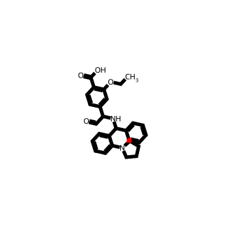 CCOc1cc(C(C=O)NC(c2ccccc2)c2ccccc2N2CCCC2)ccc1C(=O)O